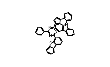 C1=Cc2c3n(c4ccccc24)-c2ccccc2C2=CC=C(c4nc(-c5ccccc5)nc(-c5cccc6c5sc5ccccc56)n4)C23C1